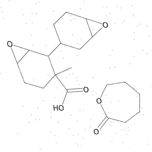 CC1(C(=O)O)CCC2OC2C1C1CCC2OC2C1.O=C1CCCCCO1